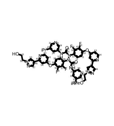 COCCn1cc(-c2cc(Oc3ccc(N(C(=O)Nc4cncc(C(C)C)c4)N(C(=O)Nc4cncc(C(C)C)c4)c4ccc(Oc5ccnc(-c6cnn(CCO)c6)c5)c(F)c4F)c(F)c3F)ccn2)cn1